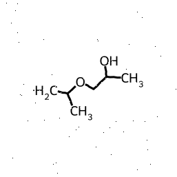 [CH2]C(C)OCC(C)O